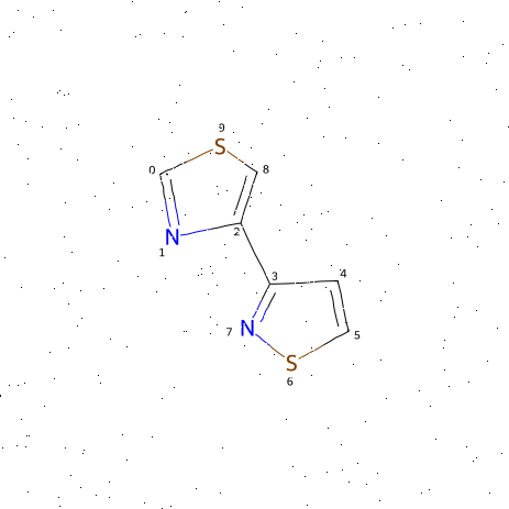 [c]1nc(-c2ccsn2)cs1